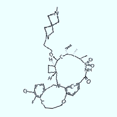 C=C[C@H]1C[C@H](OCCN2CC3(CN(C)C3)C2)[C@@H]2CC[C@H]2CN2Cc3ccc(Cl)c(F)c3CCCCOc3ccc(cc32)C(=O)NS(=O)(=O)[C@H](C)[C@H]1C